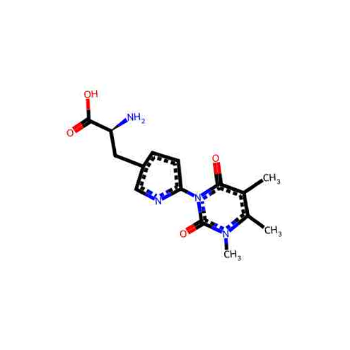 Cc1c(C)n(C)c(=O)n(-c2ccc(C[C@H](N)C(=O)O)cn2)c1=O